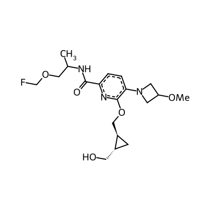 COC1CN(c2ccc(C(=O)NC(C)COCF)nc2OC[C@H]2C[C@@H]2CO)C1